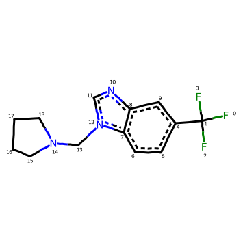 FC(F)(F)c1ccc2c(c1)ncn2CN1CCCC1